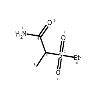 C[CH]S(=O)(=O)C(C)C(N)=O